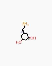 OC1C/C(=C/CP)C[C@@H](O)C1